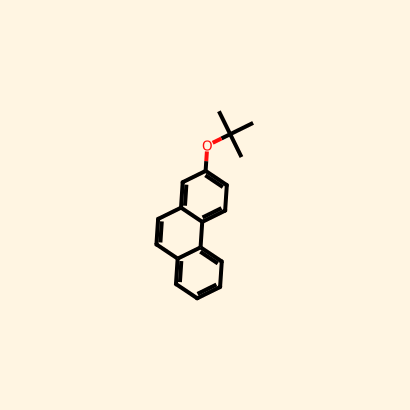 CC(C)(C)Oc1ccc2c(ccc3ccccc32)c1